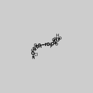 CC(C)(C#Cc1ccc2c(n1)CN([C@H]1C(C)(C)[C@H](Oc3ccc(C#N)c(Cl)c3)C1(C)C)C2=O)N1CCN(c2cc3c(cc2F)C(=O)N(C2CCC(=O)NC2=O)C3=O)CC1